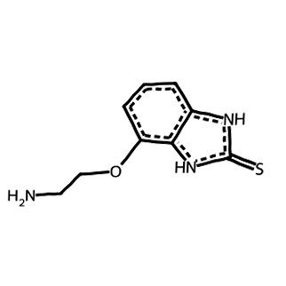 NCCOc1cccc2[nH]c(=S)[nH]c12